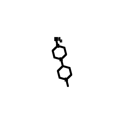 CN1CCC(N2CCN(N)CC2)CC1